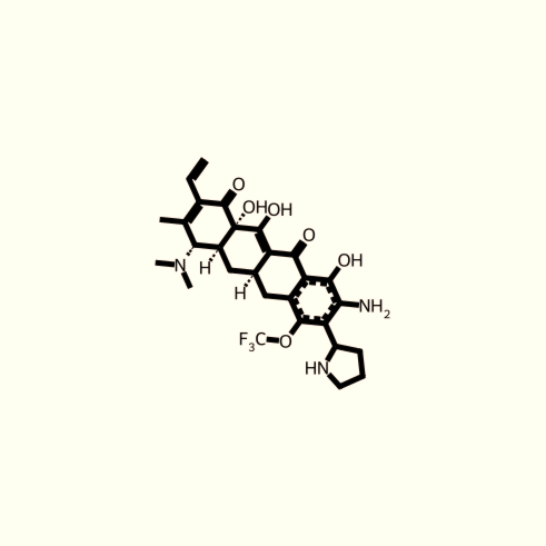 C=CC1=C(C)[C@@H](N(C)C)[C@@H]2C[C@@H]3Cc4c(OC(F)(F)F)c(C5CCCN5)c(N)c(O)c4C(=O)C3=C(O)[C@]2(O)C1=O